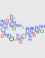 N=C(NC(=O)c1nc(Cl)c(N)nc1N)NC1CCN(C(=O)NCc2ccc(CNC(=O)N3CCC(NC(=N)NC(=O)c4nc(Cl)c(N)nc4N)CC3)cc2)CC1